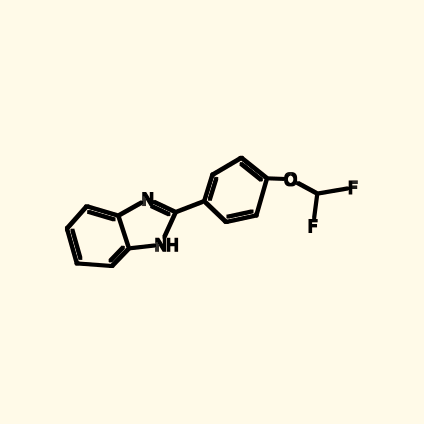 FC(F)Oc1ccc(-c2nc3ccccc3[nH]2)cc1